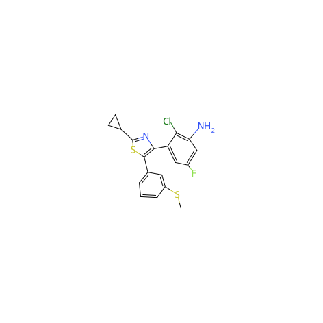 CSc1cccc(-c2sc(C3CC3)nc2-c2cc(F)cc(N)c2Cl)c1